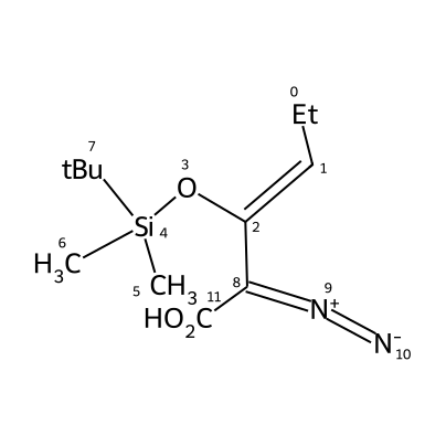 CC/C=C(\O[Si](C)(C)C(C)(C)C)C(=[N+]=[N-])C(=O)O